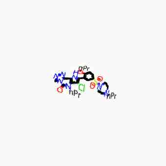 CCCOc1ccc(S(=O)(=O)N2CCN(CCC)CC2)cc1-c1[nH]c2c(c1Cl)n(CCC)c(=O)n1cnnc21